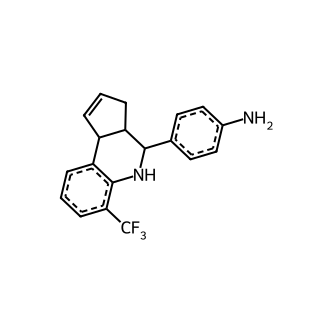 Nc1ccc(C2Nc3c(cccc3C(F)(F)F)C3C=CCC32)cc1